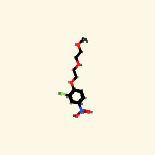 COCCOCCOc1ccc([N+](=O)[O-])cc1F